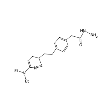 CCN(CC)C1=CCC(CCc2ccc(CC(=O)NN)cc2)C=N1